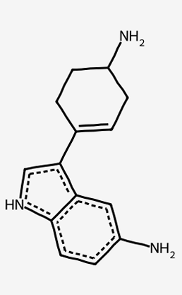 Nc1ccc2[nH]cc(C3=CCC(N)CC3)c2c1